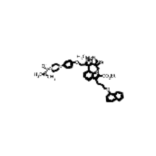 CCOC(=O)c1c(CCCOc2cccc3ccccc23)c2cccc(-c3c(CBr)nn(C)c3COc3ccc(N4CCN([S+]([O-])N(C)C)CC4)cc3)c2n1CCCNC